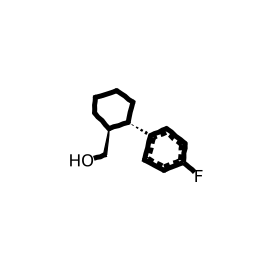 OC[C@H]1CCCC[C@@H]1c1ccc(F)cc1